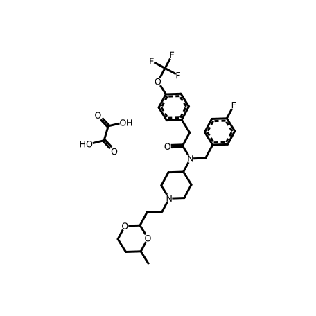 CC1CCOC(CCN2CCC(N(Cc3ccc(F)cc3)C(=O)Cc3ccc(OC(F)(F)F)cc3)CC2)O1.O=C(O)C(=O)O